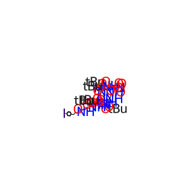 CC(C)(C)OC(=O)NCC1(NC(=O)CCCC(=O)NC(CCCCNC(=O)CCCc2ccc(I)cc2)C(=O)OC(C)(C)C)CNCCNCC(CNC(=O)OC(C)(C)C)(NC(=O)CCCC(=O)ON2C(=O)CCC2=O)CN(C(=O)OC(C)(C)C)CCN(C(=O)OC(C)(C)C)C1